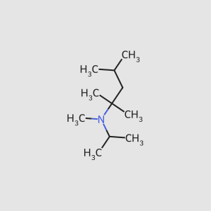 CC(C)CC(C)(C)N(C)C(C)C